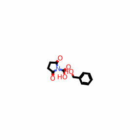 O=C(O)N1C(=O)CCC1=O.OCc1ccccc1